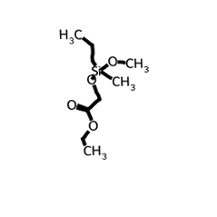 CCC[Si](C)(OC)OCC(=O)OCC